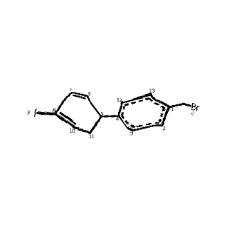 Brc1ccc(C2C=CC(I)=CC2)cc1